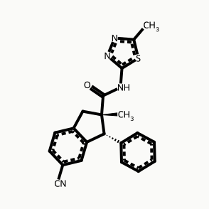 Cc1nnc(NC(=O)[C@@]2(C)Cc3ccc(C#N)cc3[C@H]2c2ccccc2)s1